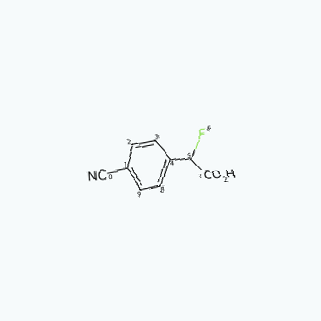 N#Cc1ccc(C(F)C(=O)O)cc1